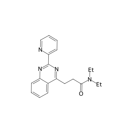 CCN(CC)C(=O)CCc1nc(-c2ccccn2)nc2ccccc12